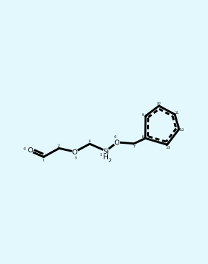 O=CCOC[SiH2]OCc1ccccc1